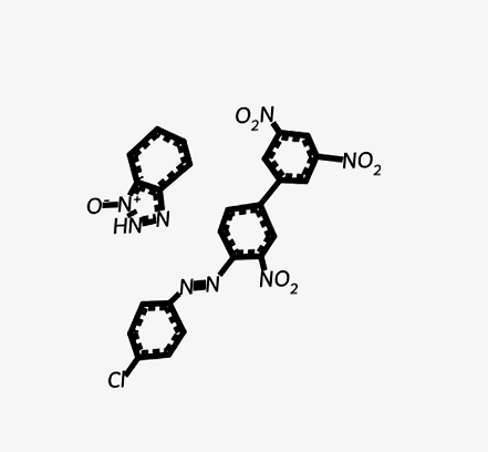 O=[N+]([O-])c1cc(-c2ccc(N=Nc3ccc(Cl)cc3)c([N+](=O)[O-])c2)cc([N+](=O)[O-])c1.[O-][n+]1[nH]nc2ccccc21